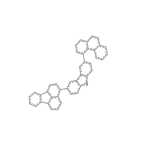 c1ccc2c(c1)-c1cccc3c(-c4ccc5sc6ccc(-c7cccc8ccc9ccccc9c78)cc6c5c4)ccc-2c13